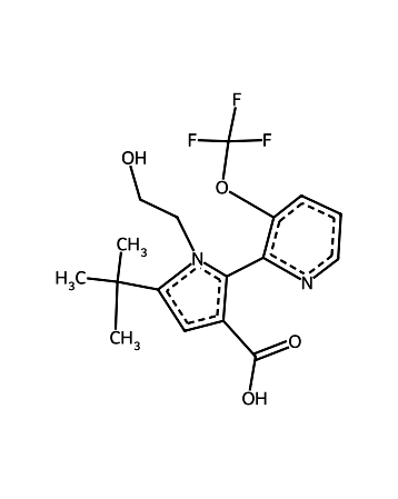 CC(C)(C)c1cc(C(=O)O)c(-c2ncccc2OC(F)(F)F)n1CCO